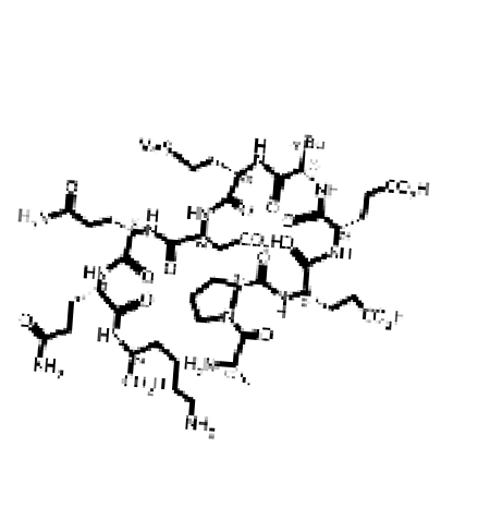 CC[C@H](C)[C@H](NC(=O)[C@H](CCC(=O)O)NC(=O)[C@H](CCC(=O)O)NC(=O)[C@@H]1CCCN1C(=O)[C@H](C)N)C(=O)N[C@@H](CCSC)C(=O)N[C@@H](CC(=O)O)C(=O)N[C@@H](CCC(N)=O)C(=O)N[C@@H](CCC(N)=O)C(=O)N[C@@H](CCCCN)C(=O)O